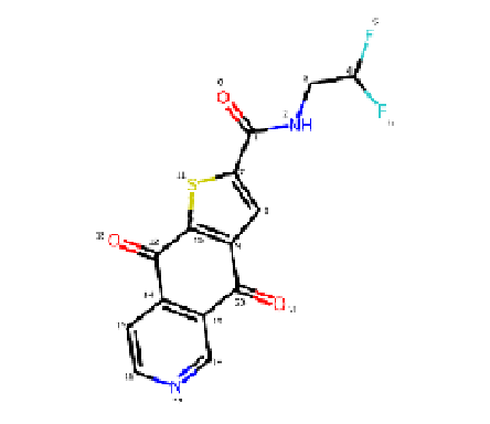 O=C(NCC(F)F)c1cc2c(s1)C(=O)c1ccncc1C2=O